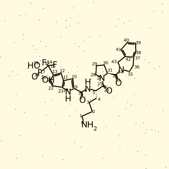 NCCCC[C@H](NC(=O)c1cc2cc(C(F)(F)P(=O)(O)O)ccc2[nH]1)C(=O)N1CCC[C@H]1C(=O)N1CCc2ccccc2C1